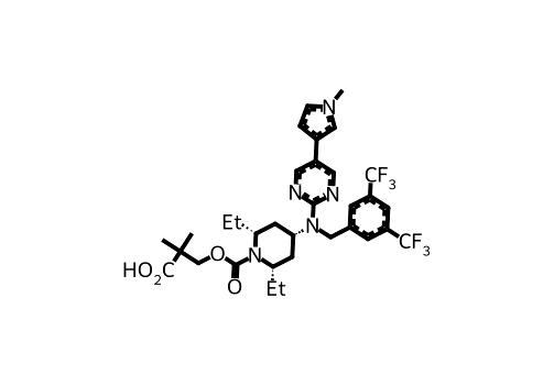 CC[C@@H]1C[C@H](N(Cc2cc(C(F)(F)F)cc(C(F)(F)F)c2)c2ncc(-c3ccn(C)c3)cn2)C[C@H](CC)N1C(=O)OCC(C)(C)C(=O)O